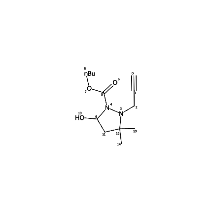 C#CCN1N(C(=O)OCCCC)C(O)CC1(C)C